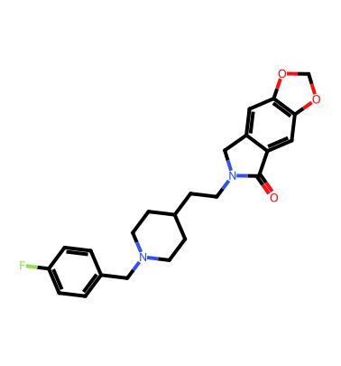 O=C1c2cc3c(cc2CN1CCC1CCN(Cc2ccc(F)cc2)CC1)OCO3